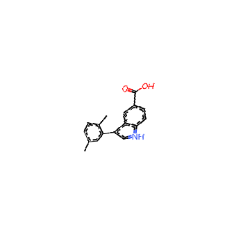 Cc1ccc(C)c(-c2c[nH]c3ccc(C(=O)O)cc23)c1